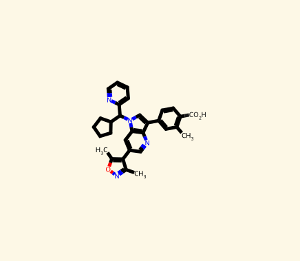 Cc1cc(-c2cn(C(c3ccccn3)C3CCCC3)c3cc(-c4c(C)noc4C)cnc23)ccc1C(=O)O